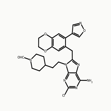 Nc1nc(Cl)nc2c1nc(Cc1cc3c(cc1-c1cnoc1)OCCO3)n2CCC1CCN(C=O)CC1